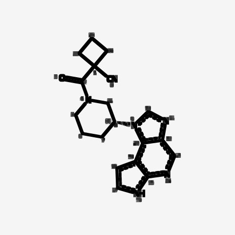 N#CC1(C(=O)N2CCC[C@@H](n3cnc4cnc5[nH]ccc5c43)C2)CCC1